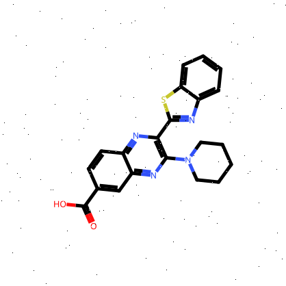 O=C(O)c1ccc2nc(-c3nc4ccccc4s3)c(N3CCCCC3)nc2c1